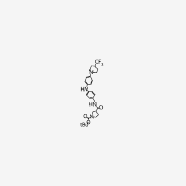 CC(C)(C)OC(=O)N1CCC(C(=O)NCc2ccc(Nc3ccc(N4CCC(C(F)(F)F)CC4)cc3)cc2)C1